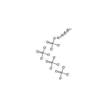 O=P([O-])([O-])[O-].O=P([O-])([O-])[O-].O=P([O-])([O-])[O-].O=P([O-])([O-])[O-].[Al+3].[Al+3].[Al+3].[Al+3]